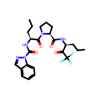 CCC[C@H](NC(=O)n1n[c]c2ccccc21)C(=O)N1CCC[C@H]1C(=O)N[C@@H](CCC)C(=O)C(F)(F)F